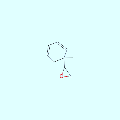 CC1(C2CO2)C=CC=CC1